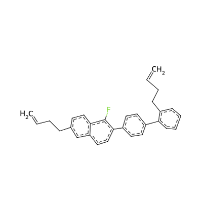 C=CCCc1ccc2c(F)c(-c3ccc(-c4ccccc4CCC=C)cc3)ccc2c1